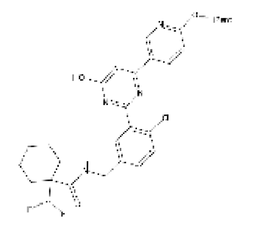 CCC[C@@H](C)Oc1ccc(-c2nc(O)nc(-c3cc(CNC(=O)C4(C(F)F)CCCCC4)ccc3Cl)n2)cn1